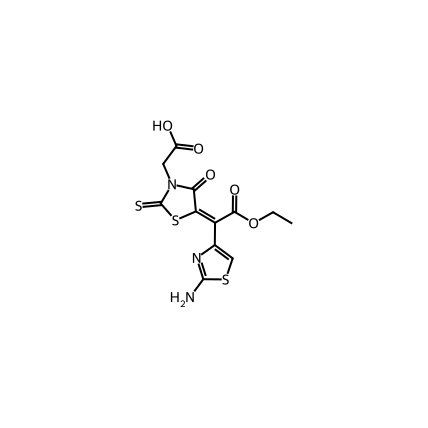 CCOC(=O)/C(=C1/SC(=S)N(CC(=O)O)C1=O)c1csc(N)n1